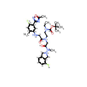 CCN(CCN(CC(=O)N(C)N1Cc2cccc(F)c2C1)C(=O)CNc1cc(-c2noc(C)n2)c(F)cc1C)C(=O)OC(C)(C)C